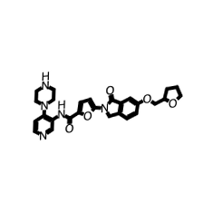 O=C(Nc1cnccc1N1CCNCC1)c1ccc(N2Cc3ccc(OCC4CCCO4)cc3C2=O)o1